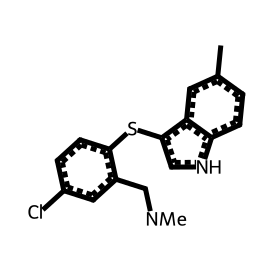 CNCc1cc(Cl)ccc1Sc1c[nH]c2ccc(C)cc12